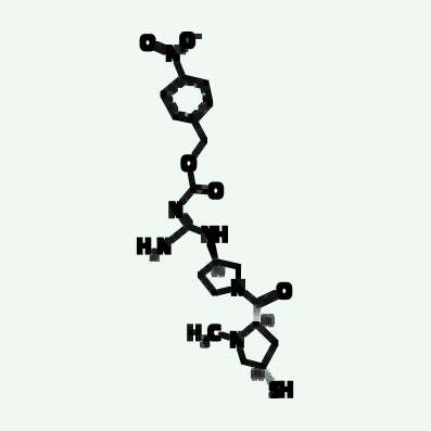 CN1C[C@@H](S)C[C@H]1C(=O)N1CC[C@@H](NC(N)=NC(=O)OCc2ccc([N+](=O)[O-])cc2)C1